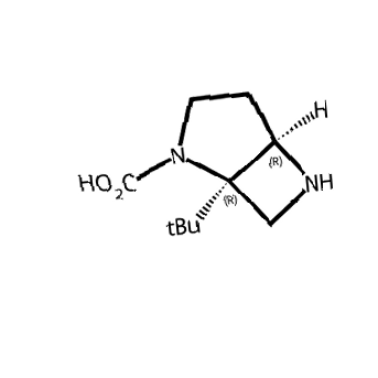 CC(C)(C)[C@@]12CN[C@@H]1CCN2C(=O)O